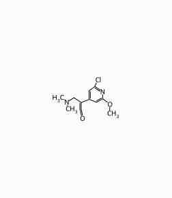 COc1cc(C(=C=O)CN(C)C)cc(Cl)n1